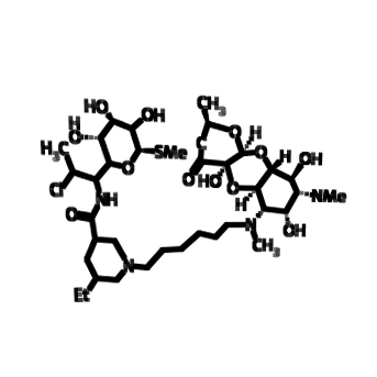 CCC1CC(C(=O)NC(C(C)Cl)C2O[C@H](SC)C(O)[C@H](O)[C@H]2O)CN(CCCCCCN(C)[C@H]2[C@@H](O)[C@@H](NC)[C@H](O)[C@H]3O[C@@H]4O[C@H](C)CC(=O)[C@]4(O)O[C@@H]32)C1